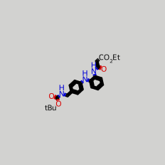 CCOC(=O)CC(=O)Nc1ccccc1Nc1ccc(CNC(=O)OC(C)(C)C)cc1